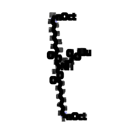 CCCCCCCC/C=C\CCCCCCCC(=O)OCC(COC(=O)CCCCCCC/C=C\CCCCCCCC)NCCC(=O)OC(C)(C)C